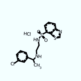 CC(NCCNS(=O)(=O)c1cccc2ncsc12)c1cccc(Cl)c1.Cl